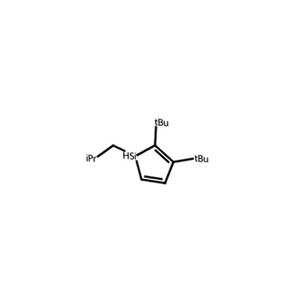 CC(C)C[SiH]1C=CC(C(C)(C)C)=C1C(C)(C)C